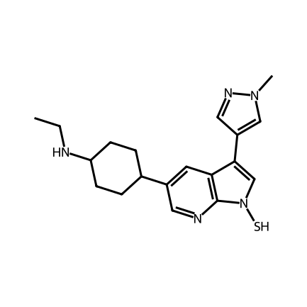 CCNC1CCC(c2cnc3c(c2)c(-c2cnn(C)c2)cn3S)CC1